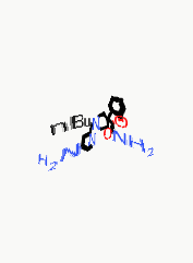 CCCCC(c1cc(N)ccn1)N1CCC2(CC1)c1ccccc1OC2C(N)=O